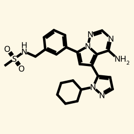 CS(=O)(=O)NCc1cccc(-c2cc(-c3ccnn3C3CCCCC3)c3c(N)ncnn23)c1